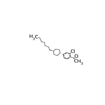 CCCCCCC[C@H]1CC[C@H](c2ccc(C(C)=O)c(Cl)c2)CC1